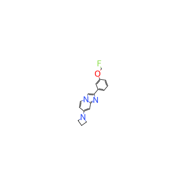 FCOc1cccc(-c2cn3ccc(N4CCC4)cc3n2)c1